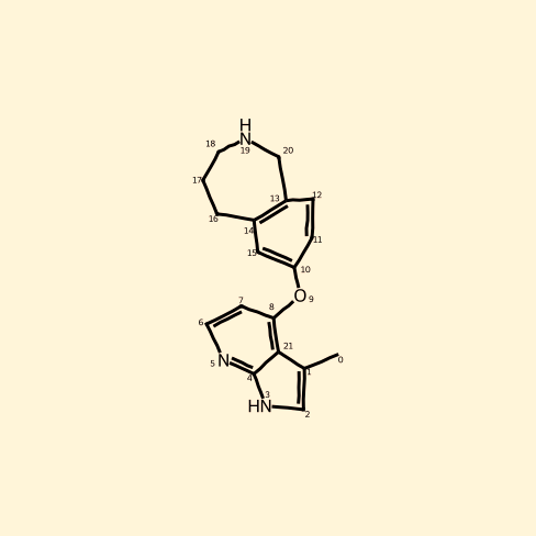 Cc1c[nH]c2nccc(Oc3ccc4c(c3)CCCNC4)c12